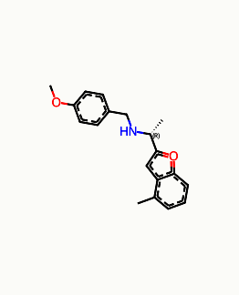 COc1ccc(CN[C@H](C)c2cc3c(C)cccc3o2)cc1